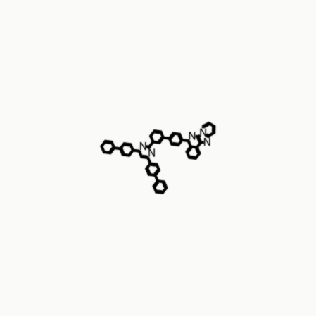 C1=CC(C2=CCC(c3cc(-c4ccc(-c5ccccc5)cc4)nc(C4C=C(c5ccc(-c6nc7c(nc8ccccn87)c7ccccc67)cc5)C=CC4)n3)C=C2)=CCC1